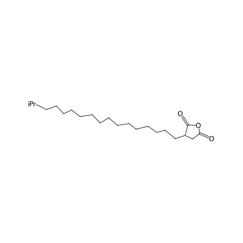 CC(C)CCCCCCCCCCCCCCCC1CC(=O)OC1=O